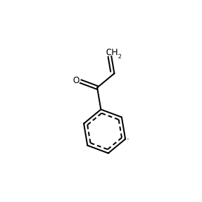 C=CC(=O)c1c[c]ccc1